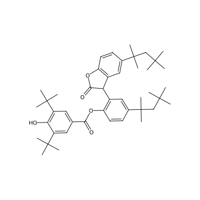 CC(C)(C)CC(C)(C)c1ccc(OC(=O)c2cc(C(C)(C)C)c(O)c(C(C)(C)C)c2)c(C2C(=O)Oc3ccc(C(C)(C)CC(C)(C)C)cc32)c1